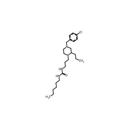 CCCCCCNC(=O)NCCCN1CCN(Cc2ccc(Cl)cc2)CC1CCC